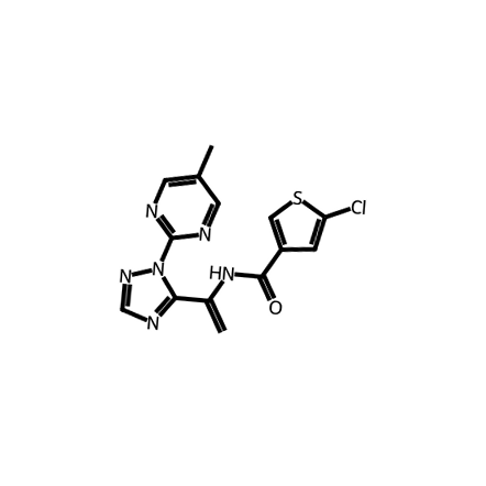 C=C(NC(=O)c1csc(Cl)c1)c1ncnn1-c1ncc(C)cn1